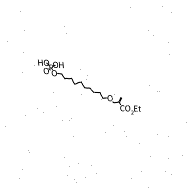 C=C(COCCCCCCCCCCOP(=O)(O)O)C(=O)OCC